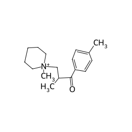 Cc1ccc(C(=O)C(C)C[N+]2(C)CCCCC2)cc1